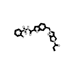 C=CC(=O)N1Cc2cn(Cc3ccc4cc(C(=O)NS(=O)(=O)c5ccccc5F)oc4c3)nc2C1